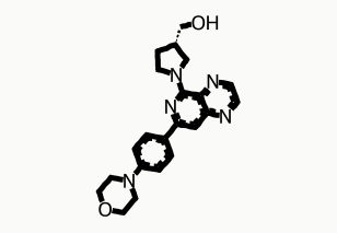 OC[C@H]1CCN(c2nc(-c3ccc(N4CCOCC4)cc3)cc3nccnc23)C1